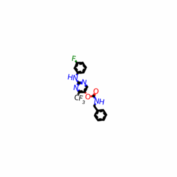 O=C(NCc1ccccc1)Oc1cnc(Nc2cccc(F)c2)nc1C(F)(F)F